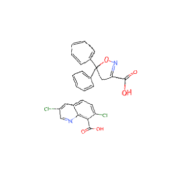 O=C(O)C1=NOC(c2ccccc2)(c2ccccc2)C1.O=C(O)c1c(Cl)ccc2cc(Cl)cnc12